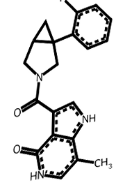 Cc1c[nH]c(=O)c2c(C(=O)N3CC4CC4(c4ccccc4F)C3)c[nH]c12